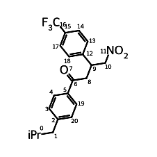 CC(C)Cc1ccc(C(=O)CC(C[N+](=O)[O-])c2ccc(C(F)(F)F)cc2)cc1